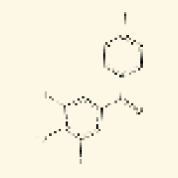 Cc1ccc(C(=O)c2cc(I)c(O)c(I)c2)cc1